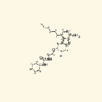 CCCCCCc1cnc(N)c2nc(CCC)n(CCOCCNC(=O)NC3CCCCC3)c12